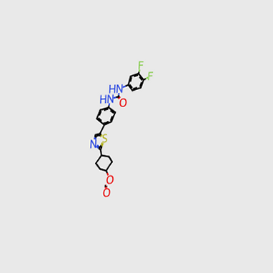 O=COC1CCC(c2ncc(-c3ccc(NC(=O)Nc4ccc(F)c(F)c4)cc3)s2)CC1